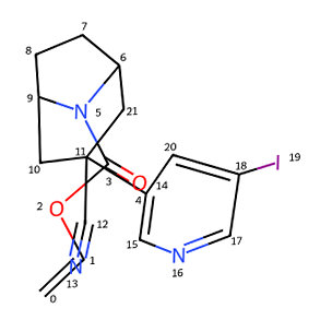 C=COC(=O)N1C2CCC1CC(C#N)(c1cncc(I)c1)C2